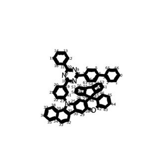 c1ccc(-c2ccc(-c3nc(-c4ccccc4)nc(-c4cccc(-n5c6cc7c(cc6c6ccc8ccccc8c65)Oc5ccccc5C75c6ccccc6-c6ccccc65)c4)n3)cc2)cc1